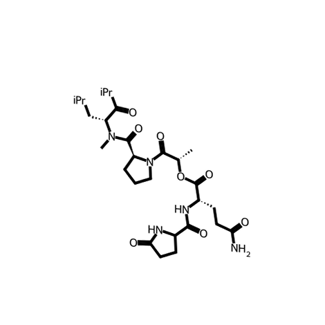 CC(C)C[C@H](C(=O)C(C)C)N(C)C(=O)[C@@H]1CCCN1C(=O)[C@H](C)OC(=O)[C@H](CCC(N)=O)NC(=O)C1CCC(=O)N1